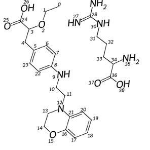 CCOC(Cc1ccc(NCCN2CCOc3ccccc32)cc1)C(=O)O.N=C(N)NCCCC(N)C(=O)O